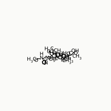 COCCNCCN(Cc1ccccn1)CC(O)C12CC[C@]3(C)[C@H](CC[C@@H]4[C@@]5(C)CC[C@H](OC(=O)CC(C)(C)C(=O)O)C(C)(C)[C@@H]5CC[C@]43C)C1=C(C(C)C)C(=O)C2